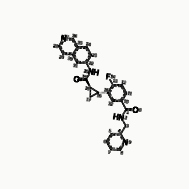 O=C(NCc1ccccn1)c1ccc(F)c([C@@H]2C[C@H]2C(=O)Nc2ccc3cnccc3c2)c1